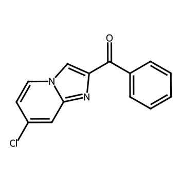 O=C(c1ccccc1)c1cn2ccc(Cl)cc2n1